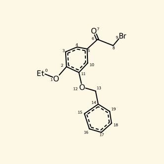 CCOc1ccc(C(=O)CBr)cc1OCc1ccccc1